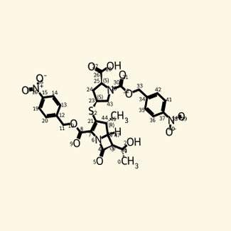 C[C@@H](O)[C@H]1C(=O)N2C(C(=O)OCc3ccc([N+](=O)[O-])cc3)=C(S[C@H]3C[C@@H](C(=O)O)N(C(=O)OCc4ccc([N+](=O)[O-])cc4)C3)[C@H](C)[C@H]12